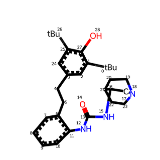 CC(C)(C)c1cc(CCc2ccccc2NC(=O)NC2CN3CCC2CC3)cc(C(C)(C)C)c1O